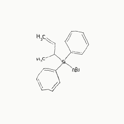 C=CC(C)[Si](CCCC)(c1ccccc1)c1ccccc1